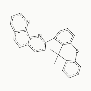 CC1(C)c2ccccc2Sc2cccc(-c3ccc4ccc5cccnc5c4n3)c21